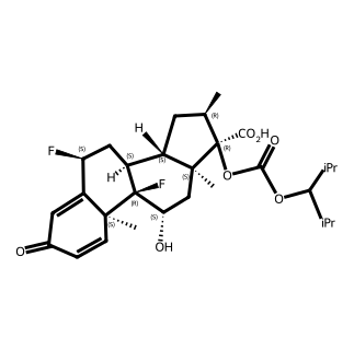 CC(C)C(OC(=O)O[C@]1(C(=O)O)[C@H](C)C[C@H]2[C@@H]3C[C@H](F)C4=CC(=O)C=C[C@]4(C)[C@@]3(F)[C@@H](O)C[C@@]21C)C(C)C